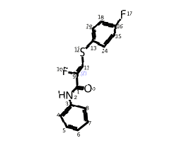 O=C(Nc1ccccc1)/C(F)=C/Sc1ccc(F)cc1